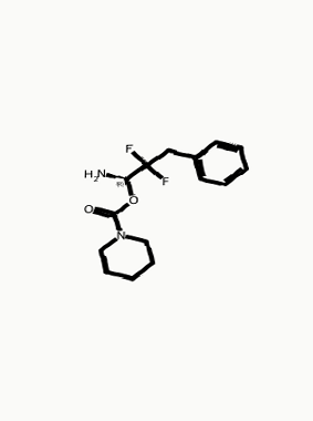 N[C@H](OC(=O)N1CCCCC1)C(F)(F)Cc1ccccc1